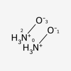 [NH3+][O-].[NH3+][O-]